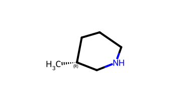 C[C@@H]1CCCNC1